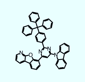 c1ccc(C(c2ccccc2)(c2ccccc2)c2ccc(-c3nc(-c4cccc5c4oc4ncccc45)cc(-n4c5ccccc5c5ccccc54)n3)cc2)cc1